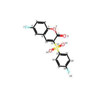 O=c1oc2ccc(F)cc2cc1S(=O)(=O)c1ccc(F)cc1